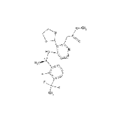 COC(=O)Cc1ncnc(N[C@H](C)c2cccc(C(C)(F)F)c2F)c1C1OCCO1